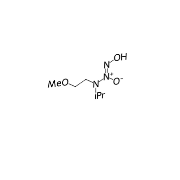 COCCN(C(C)C)/[N+]([O-])=N/O